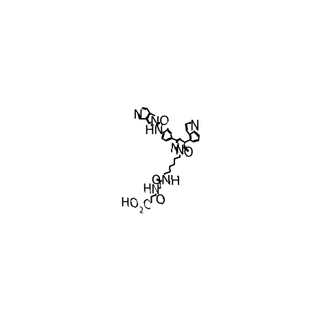 O=C(O)CCC(=O)NCC(=O)NCCCCCCN1N=C(c2ccc(NC(=O)N3Cc4ccncc4C3)cc2)CC(c2cccc3ncccc23)C1=O